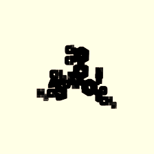 C=CC(=O)N1CCN(c2nc(OCC3(C4CCCN4C)CC3C)nc3c2CCN(c2cccc(Cl)c2Cl)C3)C[C@@H]1CC#N